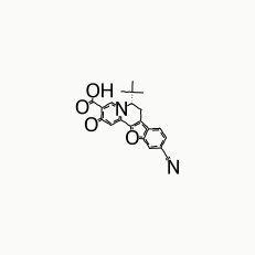 CC(C)(C)[C@@H]1Cc2c(oc3cc(C#N)ccc23)-c2cc(=O)c(C(=O)O)cn21